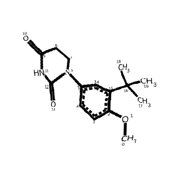 COc1ccc(N2CCC(=O)NC2=O)cc1C(C)(C)C